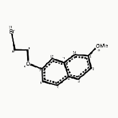 COc1ccc2ccc(OCCBr)cc2c1